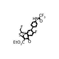 CCOC(=O)c1c2n(c3cc(-c4ccc(NC(=O)C(F)(F)F)cc4)c(F)cc3c1=O)C(CF)S2